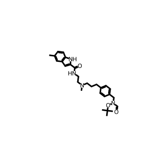 Cc1ccc2[nH]c(C(=O)NCCN(C)CCCc3ccc(CN(C=O)OC(C)(C)C)cc3)cc2c1